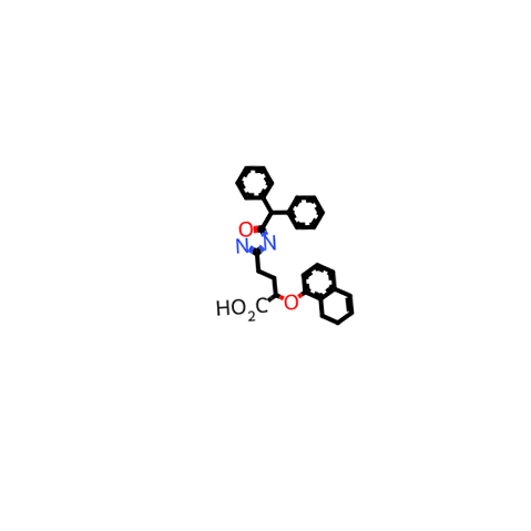 O=C(O)C(CCc1noc(C(c2ccccc2)c2ccccc2)n1)Oc1cccc2c1CCC=C2